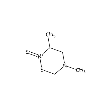 CC1CN(C)CS[N+]1=S